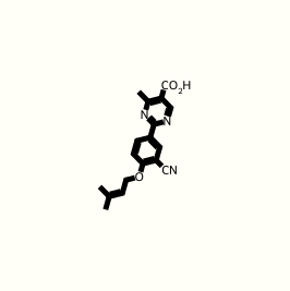 CC(C)=CCOc1ccc(-c2ncc(C(=O)O)c(C)n2)cc1C#N